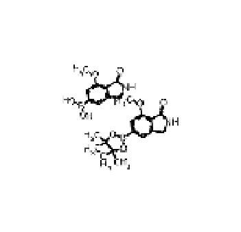 COc1cc(B(O)O)cc2c1C(=O)NC2.COc1cc(B2OC(C)(C)C(C)(C)O2)cc2c1C(=O)NC2